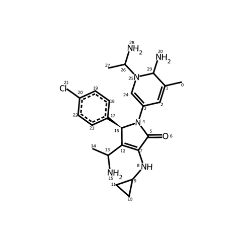 CC1=CC(N2C(=O)C(NC3CC3)=C(C(C)N)[C@H]2c2ccc(Cl)cc2)=CN(C(C)N)C1N